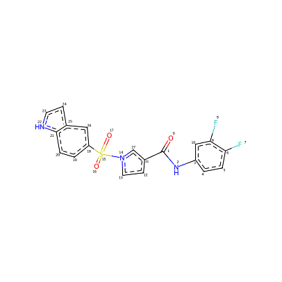 O=C(Nc1ccc(F)c(F)c1)c1ccn(S(=O)(=O)c2ccc3[nH]ccc3c2)c1